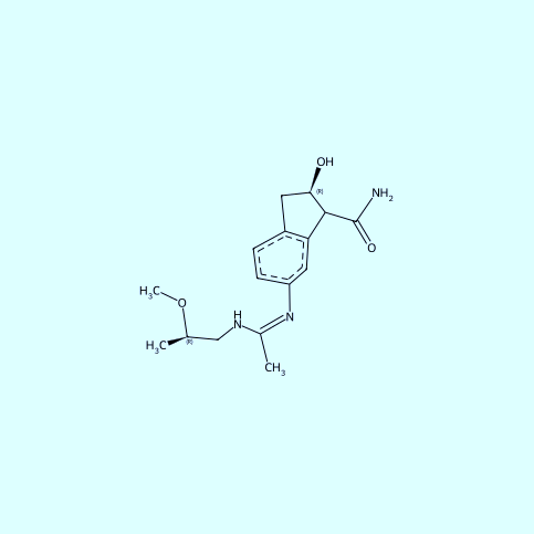 CO[C@H](C)CNC(C)=Nc1ccc2c(c1)C(C(N)=O)[C@H](O)C2